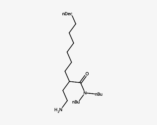 CCCCCCCCCCCCCCCCC(CCN)C(=O)N(CCCC)CCCC